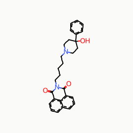 O=C1c2cccc3cccc(c23)C(=O)N1CCCCCN1CCC(O)(c2ccccc2)CC1